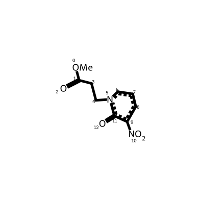 COC(=O)CCn1cccc([N+](=O)[O-])c1=O